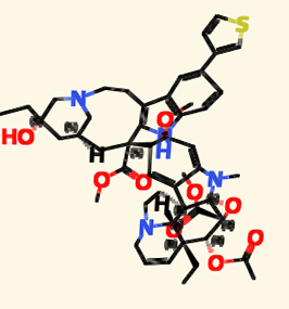 CC[C@]1(O)C[C@H]2CN(CCc3c([nH]c4ccc(-c5ccsc5)cc34)[C@@](C(=O)OC)(C3C=C4C(=CC3OC)N(C)[C@@]35O[C@]3(C(=O)OC)[C@H](OC(C)=O)[C@]3(CC)C=CCN6CC[C@]45[C@@H]63)C2)C1